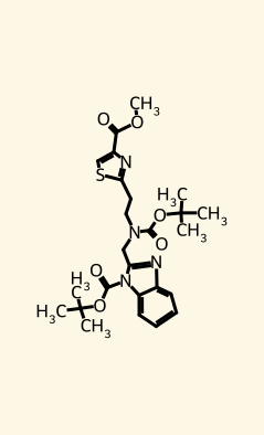 COC(=O)c1csc(CCN(Cc2nc3ccccc3n2C(=O)OC(C)(C)C)C(=O)OC(C)(C)C)n1